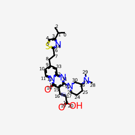 CC(C)c1csc(CCc2ccn3c(=O)c(/C=C/C(=O)O)c(N4CCCC(N(C)C)C4)nc3c2)n1